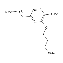 CCCCCCCCCC[SiH2]Cc1ccc(OC)c(OCCCOC)c1